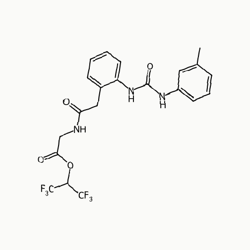 Cc1cccc(NC(=O)Nc2ccccc2CC(=O)NCC(=O)OC(C(F)(F)F)C(F)(F)F)c1